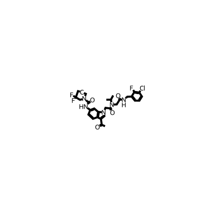 CC(=O)c1cn(CC(=O)N(CC(=O)NCc2cccc(Cl)c2F)C(C)C)c2cc(NC(=O)N3CCCC(F)(F)C3)ccc12